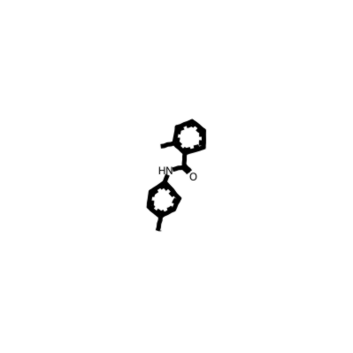 [CH2]c1ccc(NC(=O)c2ccccc2C)cc1